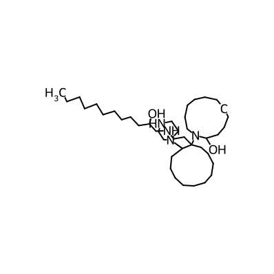 CCCCCCCCCCC(O)CNCCC1(N2CCCCCCCCCCC2O)CCCCCCCCCCC1N1CCNCC1